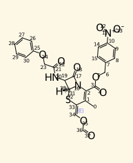 CC1=C(C(=O)OCc2ccc([N+](=O)[O-])cc2)N2C(=O)C(NC(=O)COc3ccccc3)[C@H]2S/C1=C/OC=O